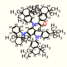 Cc1cc2c(cc1N1c3ccc(C(C)(C)C)cc3B3c4oc5cc6c(cc5c4N(c4ccc5c(c4)C(C)(C)CCC5(C)C)c4cc(N5c7ccccc7C7(C)CCCCC57C)cc1c43)C(C)(C)CCC6(C)C)C(C)(C)CCC2(C)C